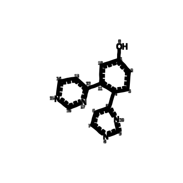 Oc1ccc(-c2ccncn2)c(-c2ccncn2)c1